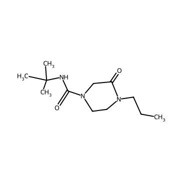 CCCN1CCN(C(=O)NC(C)(C)C)CC1=O